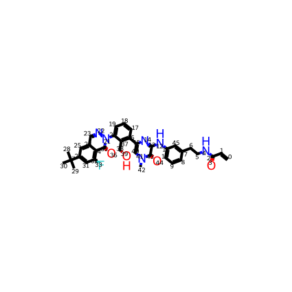 C=CC(=O)NCCc1cccc(Nc2nc(-c3cccc(-n4ncc5cc(C(C)(C)C)cc(F)c5c4=O)c3CO)cn(C)c2=O)c1